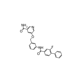 NC(=O)c1cncc(OCc2cccc(NC(=O)c3ccc(-c4ccccc4)c(F)c3)c2)c1